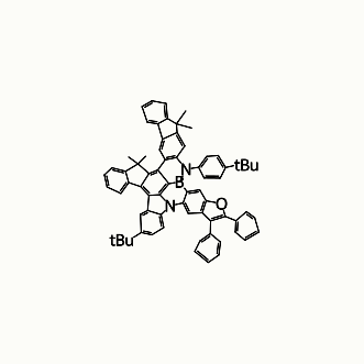 CC(C)(C)c1ccc(N2B3c4cc5oc(-c6ccccc6)c(-c6ccccc6)c5cc4-n4c5ccc(C(C)(C)C)cc5c5c6c(c(c3c54)-c3cc4c(cc32)C(C)(C)c2ccccc2-4)C(C)(C)c2ccccc2-6)cc1